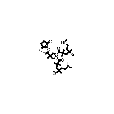 CPCCC(C)(Br)CC(C)(C)C(=O)OCC(C)(COC(=O)C(C)(C)CC(C)(Br)CCPC)C(=O)ON1C(=O)CCC1=O